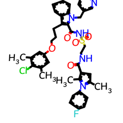 Cc1cc(OCCCc2c(C(=O)NS(=O)(=O)CCNC(=O)c3cc(C)n(-c4ccc(F)cc4)c3C)n(Cc3cccnc3)c3ccccc23)cc(C)c1Cl